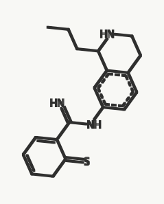 CCCC1NCCc2ccc(NC(=N)C3=CC=CCC3=S)cc21